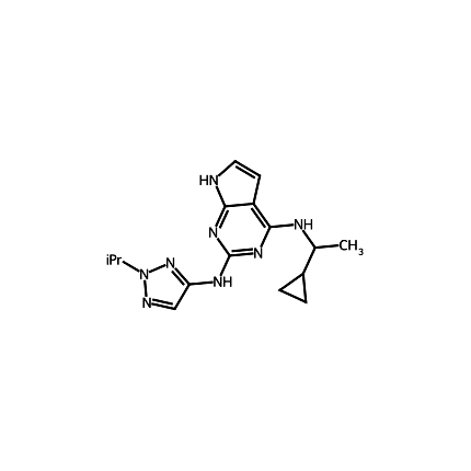 CC(Nc1nc(Nc2cnn(C(C)C)n2)nc2[nH]ccc12)C1CC1